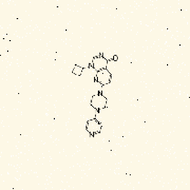 O=c1ncn(C2CCC2)c2nc(N3CCN(c4ccncc4)CC3)ccc12